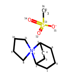 C1CC2CCC(C1)[N+]21CCCC1.O=S(=O)([O-])C(F)(F)F